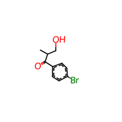 CC(CO)C(=O)c1ccc(Br)cc1